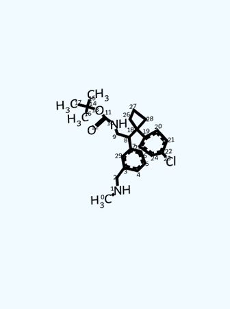 CNCc1cccc(C(CNC(=O)OC(C)(C)C)C2(c3ccc(Cl)cc3)CCC2)c1